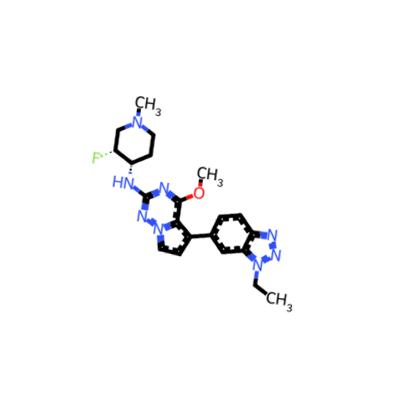 CCn1nnc2ccc(-c3ccn4nc(N[C@H]5CCN(C)C[C@H]5F)nc(OC)c34)cc21